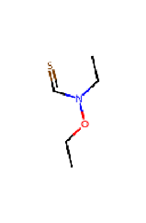 CCON(C=S)CC